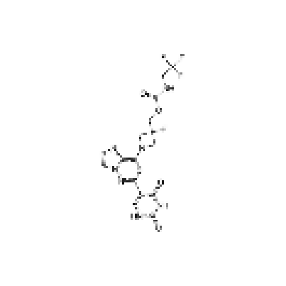 O=C(NCC(F)(F)F)OCC1(F)CN(c2cc(-c3c[nH]c(=O)[nH]c3=O)nn3ccnc23)C1